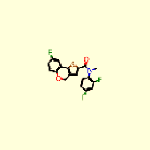 CN(C(=O)c1cc2c(s1)-c1cc(F)ccc1OC2)c1ccc(F)cc1F